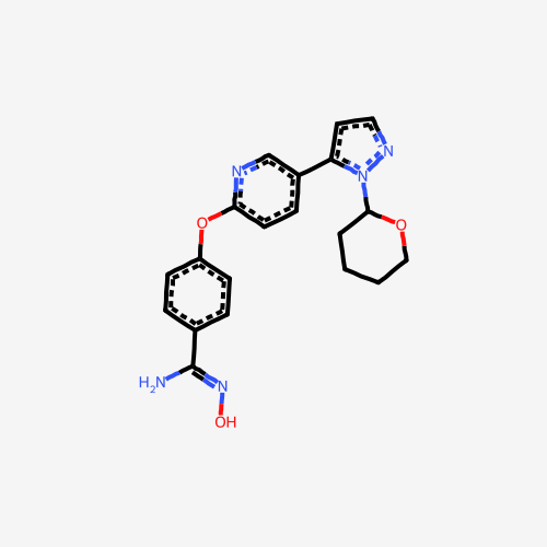 N/C(=N\O)c1ccc(Oc2ccc(-c3ccnn3C3CCCCO3)cn2)cc1